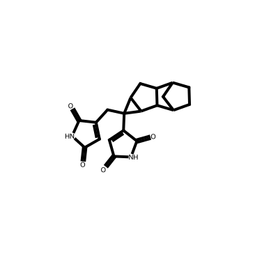 O=C1C=C(CC2(C3=CC(=O)NC3=O)C3CC4C5CCC(C5)C4C32)C(=O)N1